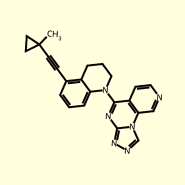 CC1(C#Cc2cccc3c2CCCN3c2nc3nncn3c3cnccc23)CC1